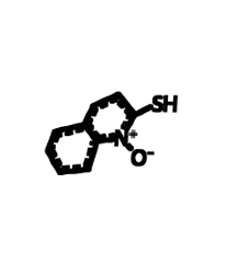 [O-][n+]1c(S)ccc2ccccc21